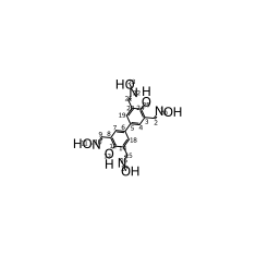 O/N=C/c1cc(-c2cc(/C=N/O)c(O)c(/C=N/O)c2)cc(/C=N/O)c1O